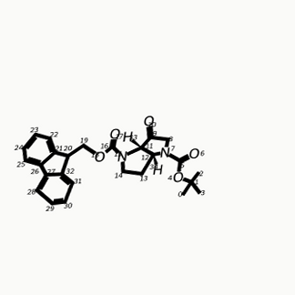 CC(C)(C)OC(=O)N1CC(=O)[C@@H]2[C@H]1CCN2C(=O)OCC1c2ccccc2-c2ccccc21